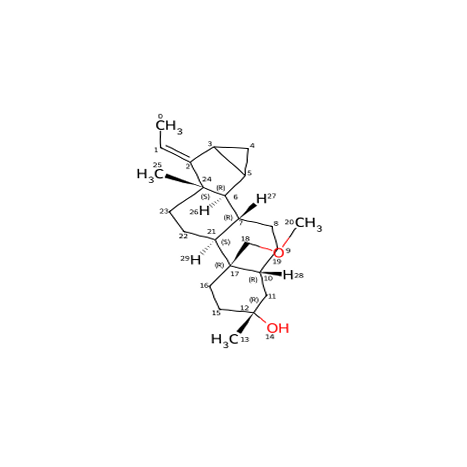 CC=C1C2CC2[C@H]2[C@@H]3CC[C@@H]4C[C@](C)(O)CC[C@]4(COC)[C@H]3CC[C@]12C